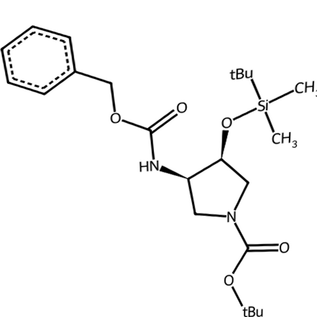 CC(C)(C)OC(=O)N1C[C@H](O[Si](C)(C)C(C)(C)C)[C@H](NC(=O)OCc2ccccc2)C1